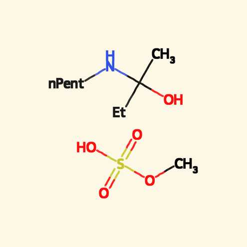 CCCCCNC(C)(O)CC.COS(=O)(=O)O